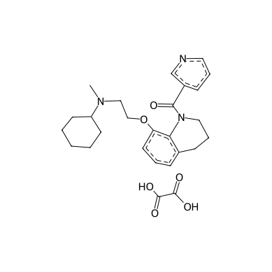 CN(CCOc1cccc2c1N(C(=O)c1cccnc1)CCC2)C1CCCCC1.O=C(O)C(=O)O